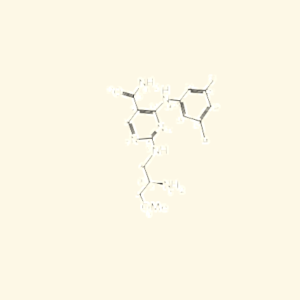 COC[C@H](N)CNc1ncc(C(N)=O)c(Nc2cc(C)cc(C)c2)n1